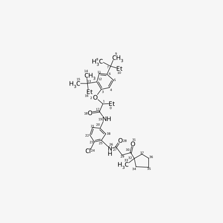 CCC(Oc1ccc(C(C)(C)CC)cc1C(C)(C)CC)C(=O)Nc1ccc(Cl)c(NC(=O)CC(=O)C2(C)CCCC2)c1